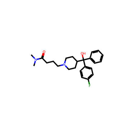 CN(C)C(=O)CCCN1CCC(C(O)(c2ccccc2)c2ccc(F)cc2)CC1